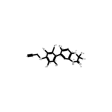 C#CCOc1c(F)c(F)c(-c2cc3c(cc2F)OC(F)(F)C(=O)N3)c(F)c1F